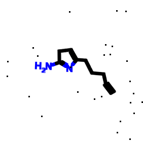 C#CCCCC1=CCC(N)=N1